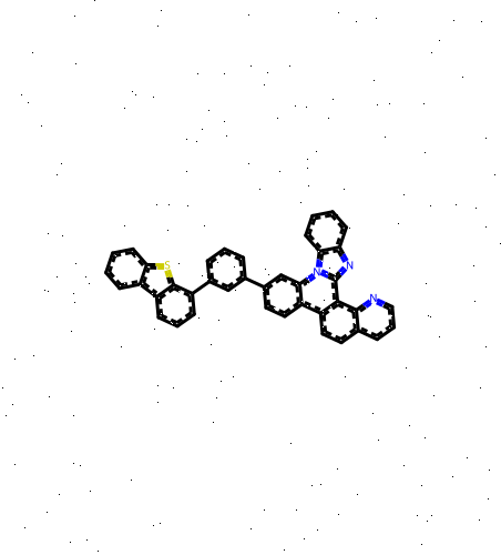 c1cc(-c2ccc3c4ccc5cccnc5c4c4nc5ccccc5n4c3c2)cc(-c2cccc3c2sc2ccccc23)c1